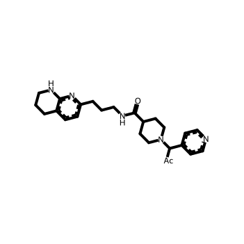 CC(=O)C(c1ccncc1)N1CCC(C(=O)NCCCc2ccc3c(n2)NCCC3)CC1